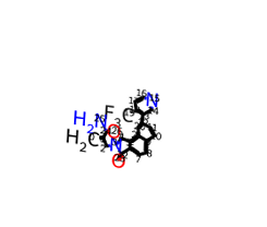 C=C(CN1Cc2c(ccc3ccc(-c4cnccc4C(F)(F)F)cc23)C1=O)C(N)=O